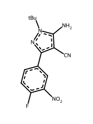 CC(C)(C)n1nc(-c2ccc(F)c([N+](=O)[O-])c2)c(C#N)c1N